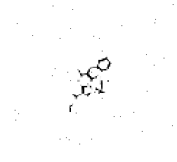 CCOC(=O)c1cnn2c(N[C@@H](C)C(C)(C)C)c(Cc3cccc(F)c3)c(Cl)nc12